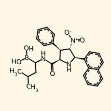 CC(C)CC(NC(=O)[C@@H]1N[C@H](c2cccc3ccccc23)[C@@H]([N+](=O)[O-])[C@@H]1c1ccccc1)B(O)O